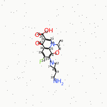 C[C@H]1COc2c(N3CC(=CCN)C3)c(F)cc3c(=O)c(C(=O)O)cn1c23